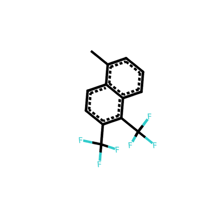 Cc1cccc2c(C(F)(F)F)c(C(F)(F)F)ccc12